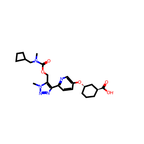 CN(CC1CCC1)C(=O)OCc1c(-c2ccc(O[C@H]3CCC[C@H](C(=O)O)C3)cn2)nnn1C